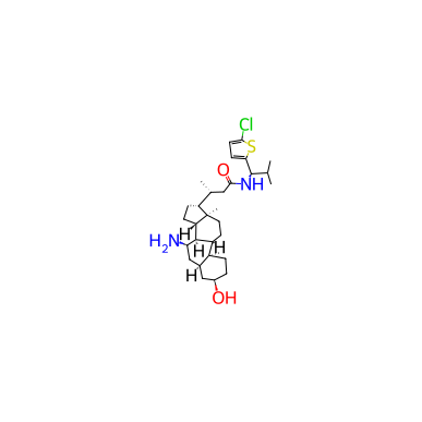 CC(C)[C@@H](NC(=O)C[C@@H](C)[C@H]1CC[C@H]2[C@@H]3[C@H](N)C[C@@H]4C[C@H](O)CC[C@]4(C)[C@H]3CC[C@]12C)c1ccc(Cl)s1